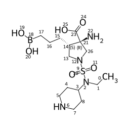 CCN(C1CCNCC1)S(=O)(=O)N1C[C@H](CCCB(O)O)[C@](N)(C(=O)O)C1